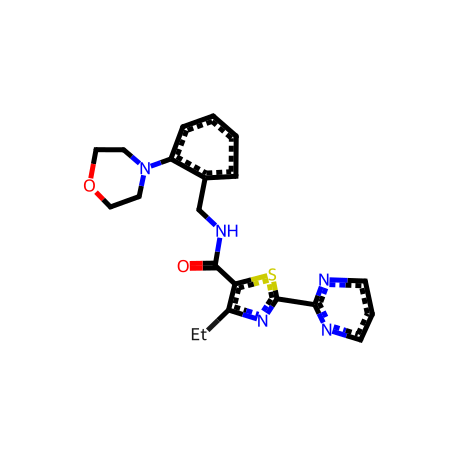 CCc1nc(-c2ncccn2)sc1C(=O)NCc1ccccc1N1CCOCC1